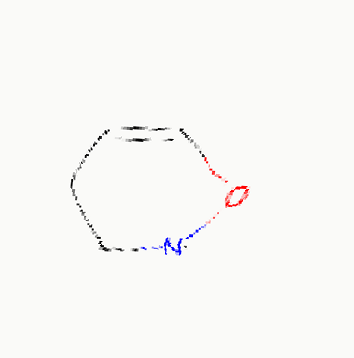 C1=CO[N]CC1